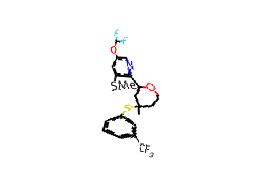 CSc1cc(OC(F)F)cnc1C1CC(C)(Sc2cccc(C(F)(F)F)c2)CCO1